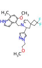 COCCn1cc(C2CC3(CCN2Cc2c(OC)cc(C)c4[nH]ccc24)CC(F)(F)C3)cn1